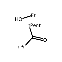 CCCCCC(=O)CCC.CCO